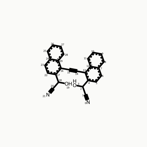 N#CC(O)c1ccc2ccccc2c1C#Cc1c(C(O)C#N)ccc2ccccc12